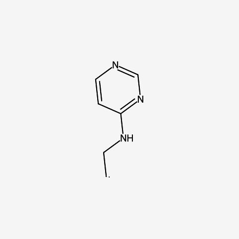 [CH2]CNc1ccncn1